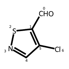 O=Cc1sncc1Cl